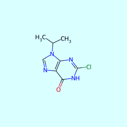 CC(C)n1cnc2c(=O)[nH]c(Cl)nc21